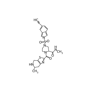 C#Cc1ccc2cn(S(=O)(=O)N3CCN(C(=O)c4nc5c(s4)CNC(C)C5)C(C(=O)NC)C3)cc2c1